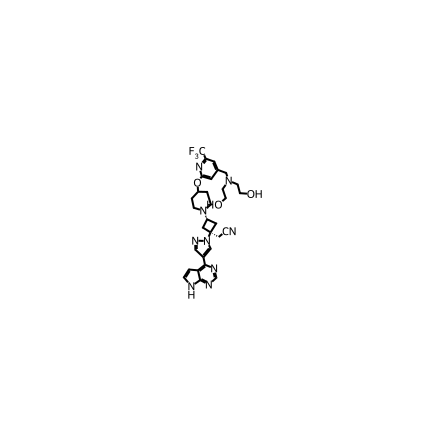 N#CC[C@]1(n2cc(-c3ncnc4[nH]ccc34)cn2)C[C@H](N2CCC(Oc3cc(CN(CCO)CCO)cc(C(F)(F)F)n3)CC2)C1